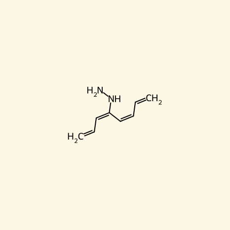 C=C/C=C\C(=C/C=C)NN